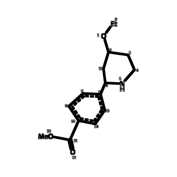 CCOC1CCNC(c2ccc(C(=O)OC)cc2)C1